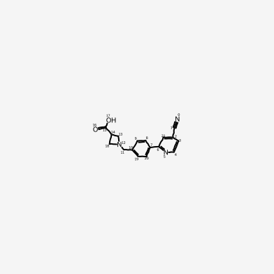 N#Cc1ccnc(-c2ccc(CN3CC(C(=O)O)C3)cc2)c1